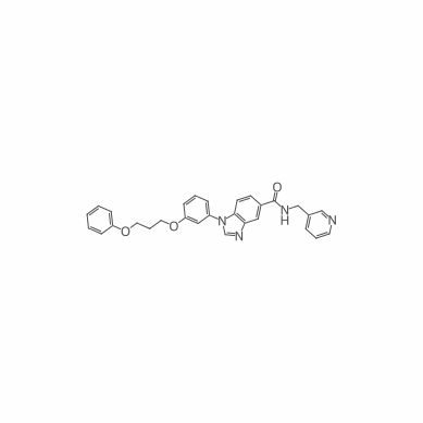 O=C(NCc1cccnc1)c1ccc2c(c1)ncn2-c1cccc(OCCCOc2ccccc2)c1